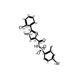 Cc1cc(Br)ccc1S(=O)(=O)NC(=O)c1cn(C)c(-c2ccccc2Cl)n1